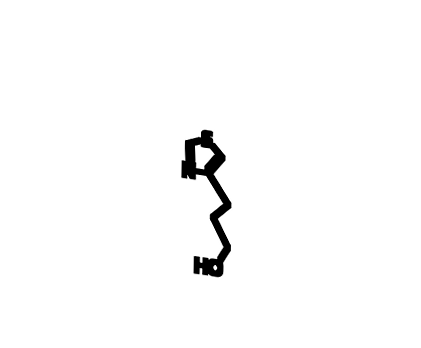 OCCCc1cscn1